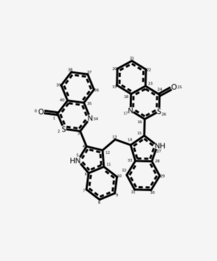 O=c1sc(-c2[nH]c3ccccc3c2Cc2c(-c3nc4ccccc4c(=O)s3)[nH]c3ccccc23)nc2ccccc12